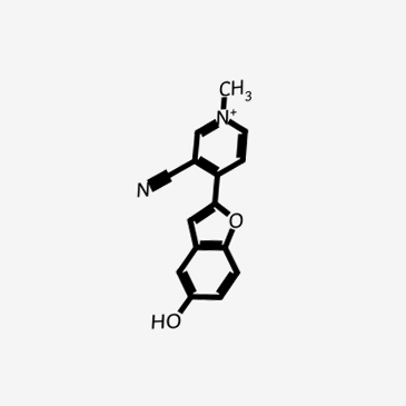 C[n+]1ccc(-c2cc3cc(O)ccc3o2)c(C#N)c1